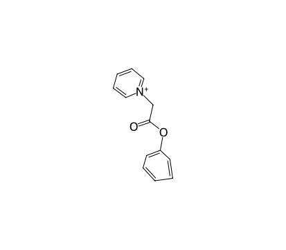 O=C(C[n+]1ccccc1)Oc1ccccc1